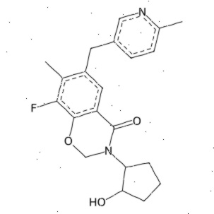 Cc1ccc(Cc2cc3c(c(F)c2C)OCN(C2CCCC2O)C3=O)cn1